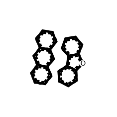 c1ccc2c(c1)oc1ccccc12.c1ccc2cc3ccccc3cc2c1